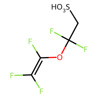 O=S(=O)(O)CC(F)(F)OC(F)=C(F)F